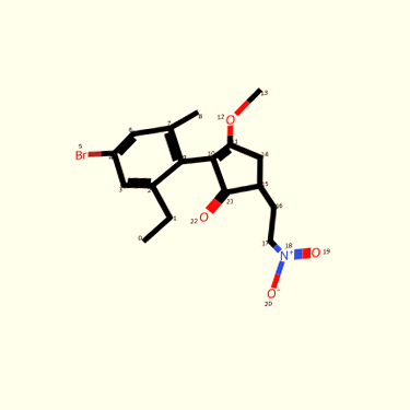 CCc1cc(Br)cc(C)c1C1=C(OC)CC(CC[N+](=O)[O-])C1=O